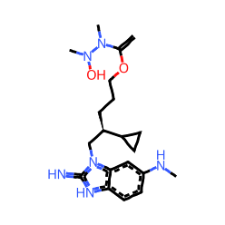 C=C(OCCC[C@H](Cn1c(=N)[nH]c2ccc(NC)cc21)C1CC1)N(C)N(C)O